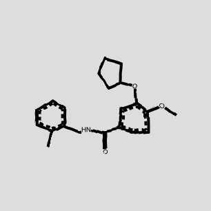 COc1ccc(C(=O)NCc2ccccc2C)cc1OC1CCCC1